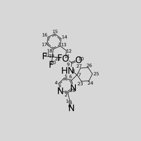 N#Cc1nccc(C2(NC(=O)OCc3ccccc3C(F)(F)F)CCCCC2)n1